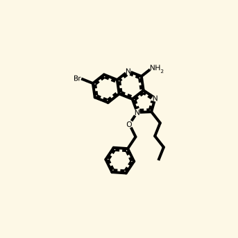 CCCCc1nc2c(N)nc3cc(Br)ccc3c2n1OCc1ccccc1